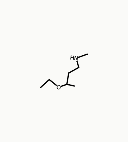 CCOC(C)CCNC